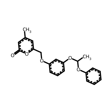 Cc1cc(COc2cccc(OC(C)Oc3ccccc3)c2)oc(=O)c1